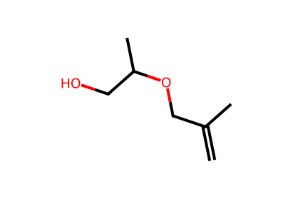 C=C(C)COC(C)CO